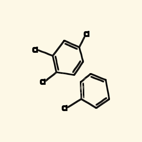 Clc1ccc(Cl)c(Cl)c1.Clc1ccccc1